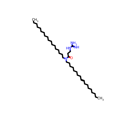 CCCCCCCCC=CCCCCCCCCN(CCCCCCCCCCCCCCCCCC)C(=O)CCNC(=N)N